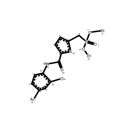 CCOP(=O)(Cc1ccc(C(=O)Nc2ccc(C(C)=O)cc2Cl)s1)OCC